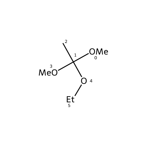 [CH2]OC(C)(OC)OCC